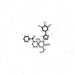 O=C(c1ccccn1)N1CCC[C@]2(C1)O[C@H](CO)[C@H](O)[C@H](n1cc(-c3cc(F)c(F)c(F)c3)nn1)[C@H]2O